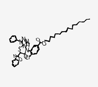 CCCCCCCCCCCCCCCCOC(=O)c1ccc(Cl)c(NC(=O)C(Sc2nnnn2-c2ccccc2)c2nc3ccccc3o2)c1